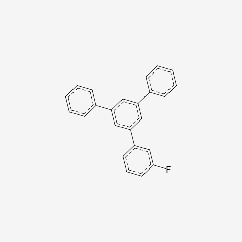 Fc1cccc(-c2cc(-c3ccccc3)cc(-c3ccccc3)c2)c1